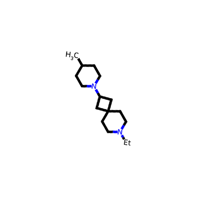 CCN1CCC2(CC1)CC(N1CCC(C)CC1)C2